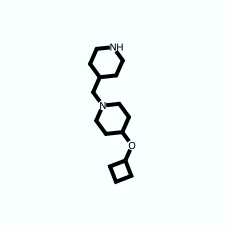 C1CC(OC2CCN(CC3CCNCC3)CC2)C1